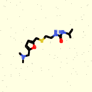 CC(C)NC(=O)NCCSCc1ccc(CN(C)C)o1